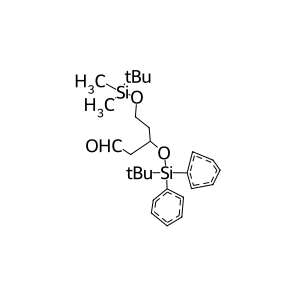 CC(C)(C)[Si](C)(C)OCCC(CC=O)O[Si](c1ccccc1)(c1ccccc1)C(C)(C)C